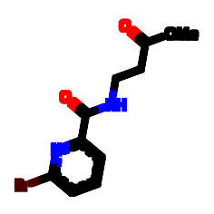 COC(=O)CCNC(=O)c1cccc(Br)n1